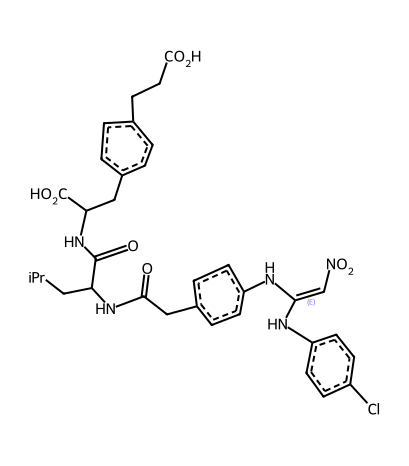 CC(C)CC(NC(=O)Cc1ccc(N/C(=C\[N+](=O)[O-])Nc2ccc(Cl)cc2)cc1)C(=O)NC(Cc1ccc(CCC(=O)O)cc1)C(=O)O